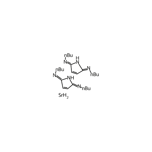 CCCCN=C1C=CC(=NCCCC)N1.CCCCN=C1C=CC(=NCCCC)N1.[SrH2]